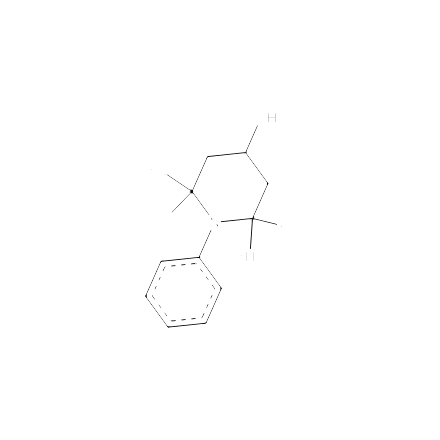 [2H]C1([2H])CC(O)CC([2H])([2H])N1c1ccccc1